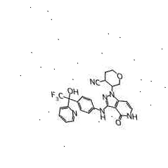 N#CC1CCOCC1n1nc(Nc2ccc(C(O)(c3ccccn3)C(F)(F)F)cc2)c2c(=O)[nH]ccc21